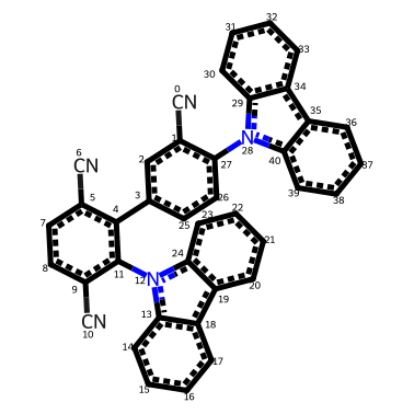 N#Cc1cc(-c2c(C#N)ccc(C#N)c2-n2c3ccccc3c3ccccc32)ccc1-n1c2ccccc2c2ccccc21